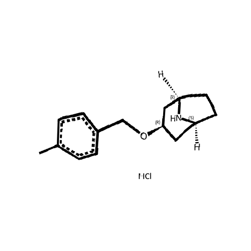 Cc1ccc(CO[C@H]2C[C@H]3CC[C@@H](C2)N3)cc1.Cl